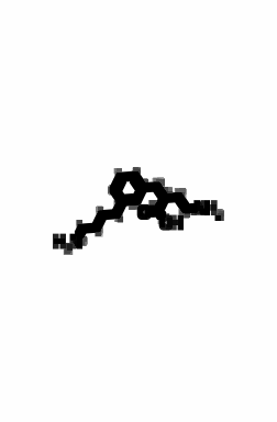 NCCCCc1cccc(CC(CCN)C(=O)O)c1